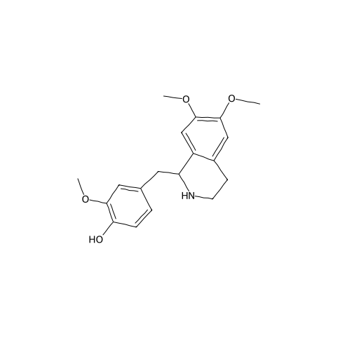 COc1cc(CC2NCCc3cc(OC)c(OC)cc32)ccc1O